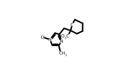 Cc1c[n+]([O-])cc(CC2(C(=O)O)CCCCC2)n1